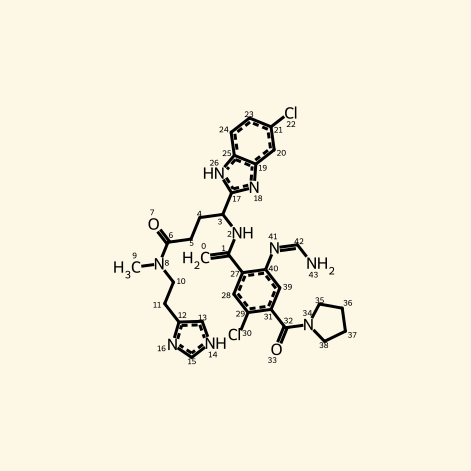 C=C(NC(CCC(=O)N(C)CCc1c[nH]cn1)c1nc2cc(Cl)ccc2[nH]1)c1cc(Cl)c(C(=O)N2CCCC2)cc1/N=C\N